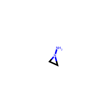 NN1CC1